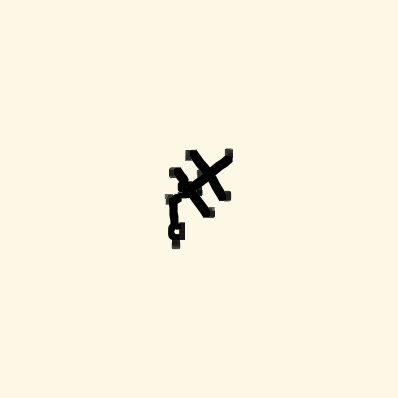 CC(C)(C)[Si](C)(C)CCl